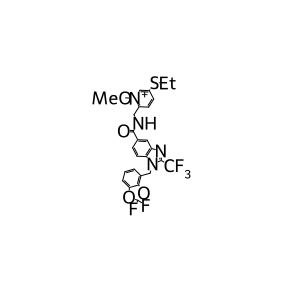 CCSc1ccc(CNC(=O)c2ccc3c(c2)nc(C(F)(F)F)n3Cc2cccc3c2OC(F)(F)O3)[n+](OC)c1